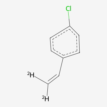 [2H]C([2H])=Cc1ccc(Cl)cc1